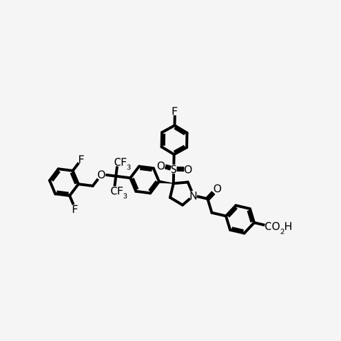 O=C(O)c1ccc(CC(=O)N2CC[C@](c3ccc(C(OCc4c(F)cccc4F)(C(F)(F)F)C(F)(F)F)cc3)(S(=O)(=O)c3ccc(F)cc3)C2)cc1